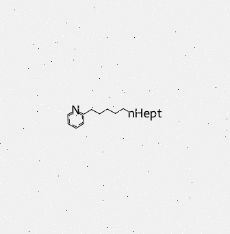 [CH2]CCCCCCCCCCCc1ccccn1